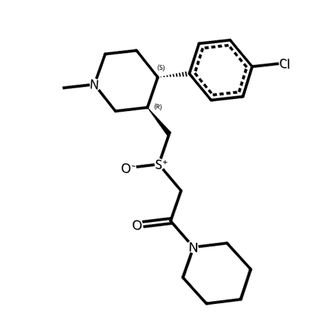 CN1CC[C@H](c2ccc(Cl)cc2)[C@@H](C[S+]([O-])CC(=O)N2CCCCC2)C1